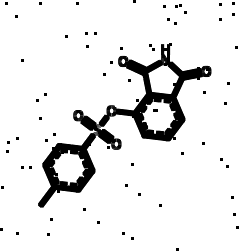 Cc1ccc(S(=O)(=O)Oc2cccc3c2C(=O)NC3=O)cc1